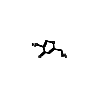 Cc1coc(CN)cc1=O